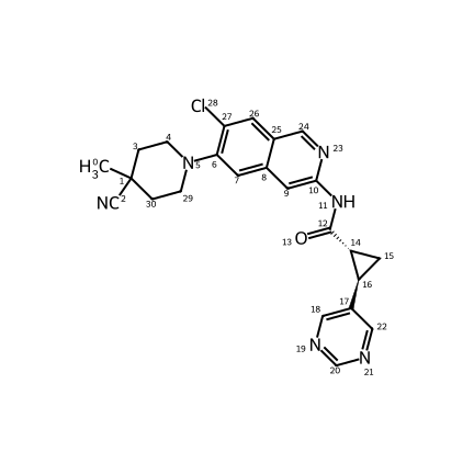 CC1(C#N)CCN(c2cc3cc(NC(=O)[C@@H]4C[C@H]4c4cncnc4)ncc3cc2Cl)CC1